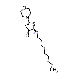 CCCCCCCCC/C=C1/SC(N2CCOCC2)=NC1=O